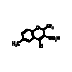 Cc1ccc2c(c1)C(Cl)=C(C(=O)O)C(C(F)(F)F)O2